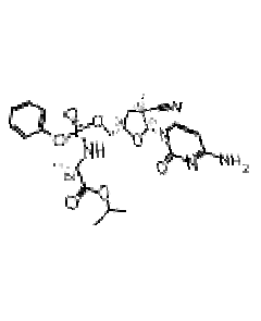 CC(C)OC(=O)[C@H](C)NP(=O)(OC[C@@H]1C[C@@](C)(C#N)[C@H](n2ccc(N)nc2=O)O1)Oc1ccccc1